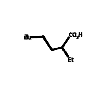 CCC(C)CCC(CC)C(=O)O